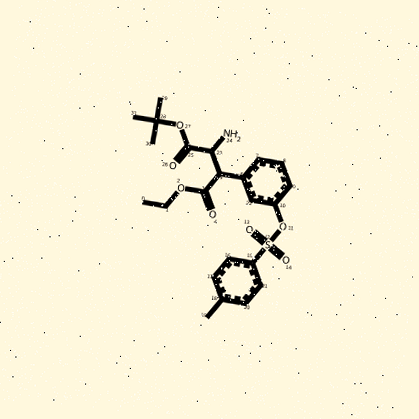 CCOC(=O)C(c1cccc(OS(=O)(=O)c2ccc(C)cc2)c1)C(N)C(=O)OC(C)(C)C